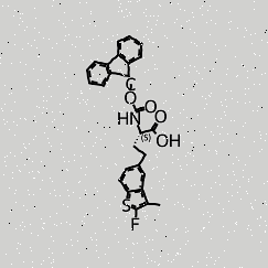 Cc1c(F)sc2ccc(CC[C@H](NC(=O)OCC3c4ccccc4-c4ccccc43)C(=O)O)cc12